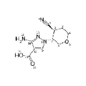 N#C[C@H]1CCOC[C@@H]1n1cc(C(=O)O)c(N)n1